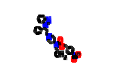 C=CCN(C(=O)OCc1ccc([N+](=O)[O-])cc1)C1CCN(CCC(c2ccccc2)N2C=NC3C=CC=CC32)CC1